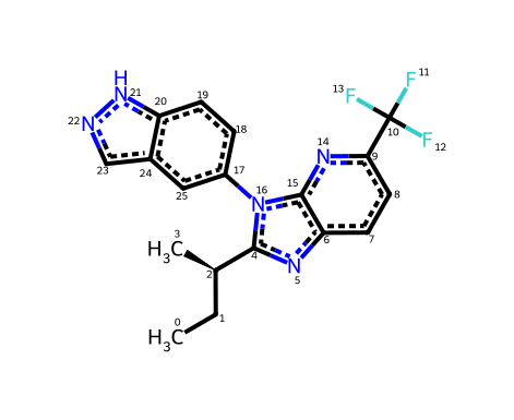 CC[C@@H](C)c1nc2ccc(C(F)(F)F)nc2n1-c1ccc2[nH]ncc2c1